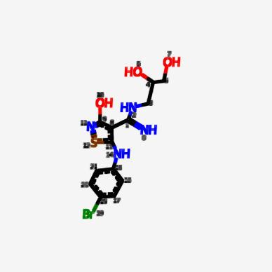 N=C(NCC(O)CO)c1c(O)nsc1Nc1ccc(Br)cc1